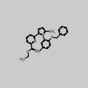 CCOC(=O)c1cccc(-c2ccc(C)n2-c2cc(Cl)ccc2OCc2ccccc2)n1